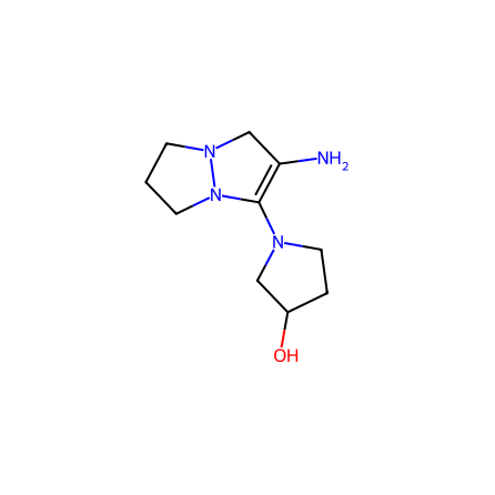 NC1=C(N2CCC(O)C2)N2CCCN2C1